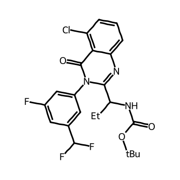 CCC(NC(=O)OC(C)(C)C)c1nc2cccc(Cl)c2c(=O)n1-c1cc(F)cc(C(F)F)c1